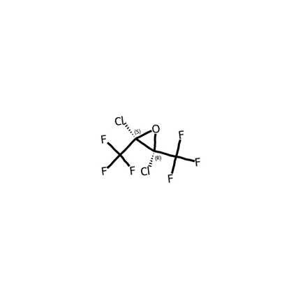 FC(F)(F)[C@]1(Cl)O[C@]1(Cl)C(F)(F)F